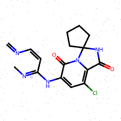 C=N/C=C\C(=N/C)Nc1cc(Cl)c2n(c1=O)C1(CCCC1)NC2=O